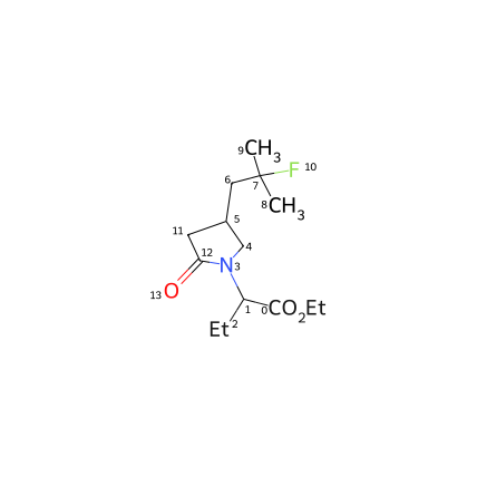 CCOC(=O)C(CC)N1CC(CC(C)(C)F)CC1=O